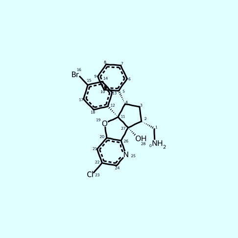 NC[C@H]1C[C@@H](c2ccccc2)[C@]2(c3ccc(Br)cc3)Oc3cc(Cl)cnc3[C@]12O